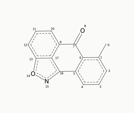 Cc1cccc2c1C(=O)c1cccc3onc-2c13